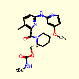 Cc1ccc(Nc2cc(OC(F)(F)F)ccn2)nc1C(=O)N1CCCC[C@@H]1COC(=O)NC(C)(C)C